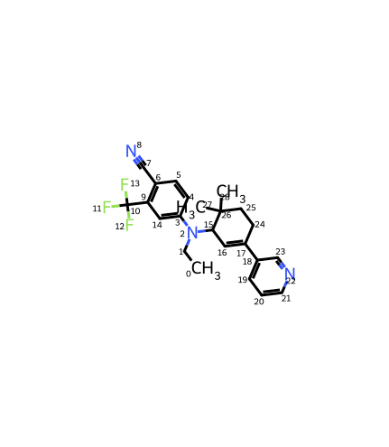 CCN(c1ccc(C#N)c(C(F)(F)F)c1)C1C=C(c2cccnc2)CCC1(C)C